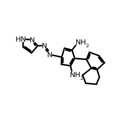 Nc1cc(N=Nc2cc[nH]n2)cc(N)c1-c1cccc2c1CCCC2